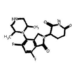 CC1CNCC(C)N1c1c(F)cc(F)c2c1CN(C1CCC(=O)NC1=O)C2=O